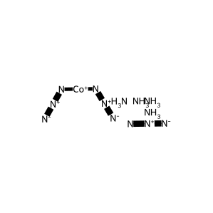 N.N.N.N.[N-]=[N+]=[N-].[N-]=[N+]=[N][Co+][N]=[N+]=[N-]